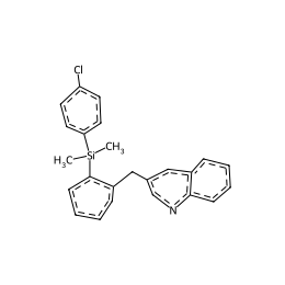 C[Si](C)(c1ccc(Cl)cc1)c1ccccc1Cc1cnc2ccccc2c1